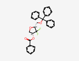 O=C(O[C@@H]1CO[C@H](COC(c2ccccc2)(c2ccccc2)c2ccccc2)C1(F)F)c1ccccc1